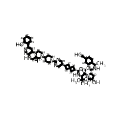 C#Cc1ccc([C@H](C)NC(=O)[C@@H]2C[C@@H](O)CN2C(=O)[C@@H](NC(=O)[C@H]2CC3(C2)C[C@H](c2cnc(N4CCC(N5CCN6c7cc(-c8ccccc8O)nnc7NC[C@H]6C5)CC4)nc2)C3)C(C)(C)C)cc1